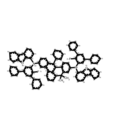 CC1(C)c2cc(N(c3cc(-c4ccccc4)cc(-c4ccccc4)c3F)c3cccc4c3oc3ccccc34)ccc2-c2c(-c3ccccc3)c3ccc(N(c4cc(-c5ccccc5)cc(-c5ccccc5)c4F)c4cccc5c4oc4ccccc45)cc3c3cccc1c23